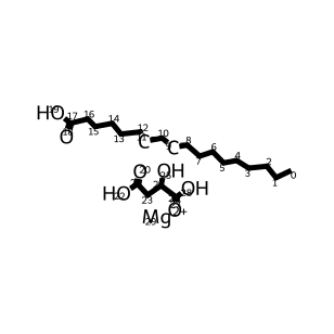 CCCCCCCCC[CH-]C[CH-]CCCCCC(=O)O.O=C(O)CC(O)C(=O)O.[Mg+2]